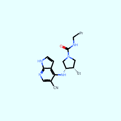 CC[C@H]1CN(C(=O)NCC(C)C)C[C@H]1Nc1c(C#N)cnc2[nH]ccc12